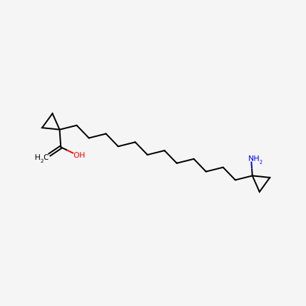 C=C(O)C1(CCCCCCCCCCCCC2(N)CC2)CC1